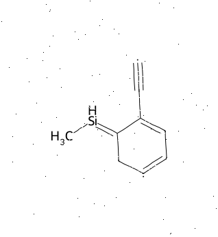 [C]#CC1=CC=[C]CC1=[SiH]C